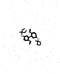 C=Cc1ccc(OC(C)(CC)CC)cc1-c1cc(OC2(C)CCCC2)ccc1C=C